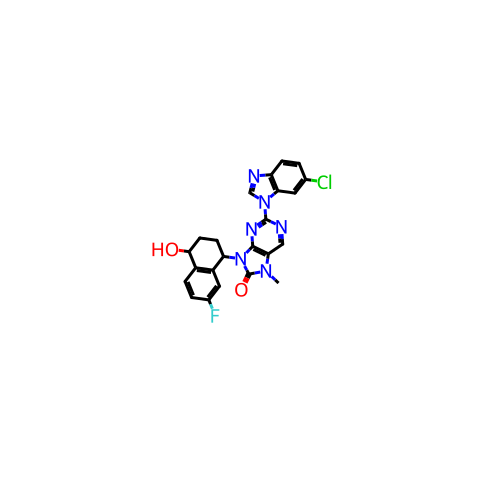 Cn1c(=O)n(C2CCC(O)c3ccc(F)cc32)c2nc(-n3cnc4ccc(Cl)cc43)ncc21